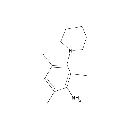 Cc1cc(C)c(N2CCCCC2)c(C)c1N